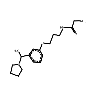 CC(c1cccc(OCCCNC(=O)CN)c1)N1CCCC1